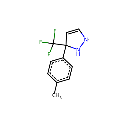 Cc1ccc(C2(C(F)(F)F)C=C[N]N2)cc1